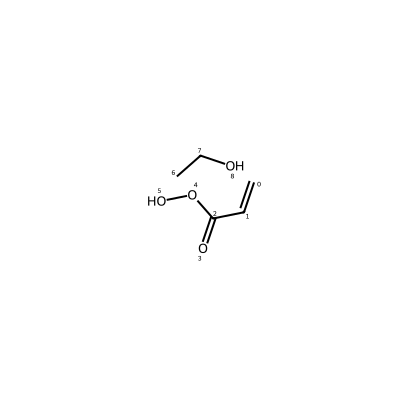 C=CC(=O)OO.CCO